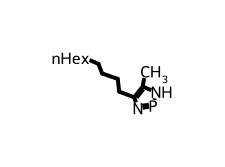 CCCCCCCCCCc1np[nH]c1C